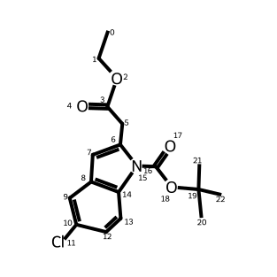 CCOC(=O)Cc1cc2cc(Cl)ccc2n1C(=O)OC(C)(C)C